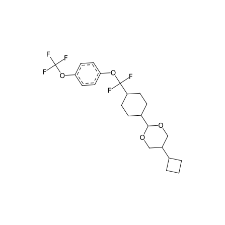 FC(F)(F)Oc1ccc(OC(F)(F)C2CCC(C3OCC(C4CCC4)CO3)CC2)cc1